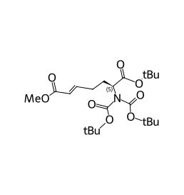 COC(=O)C=CCC[C@@H](C(=O)OC(C)(C)C)N(C(=O)OC(C)(C)C)C(=O)OC(C)(C)C